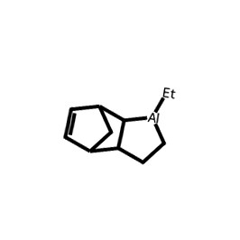 C[CH2][Al]1[CH2]CC2C3C=CC(C3)[CH]21